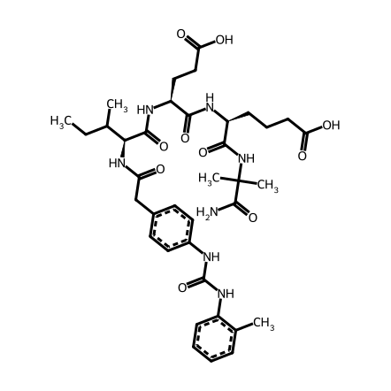 CCC(C)[C@H](NC(=O)Cc1ccc(NC(=O)Nc2ccccc2C)cc1)C(=O)N[C@@H](CCC(=O)O)C(=O)N[C@@H](CCCC(=O)O)C(=O)NC(C)(C)C(N)=O